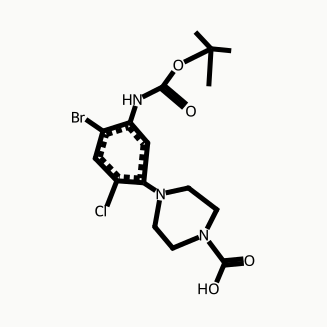 CC(C)(C)OC(=O)Nc1cc(N2CCN(C(=O)O)CC2)c(Cl)cc1Br